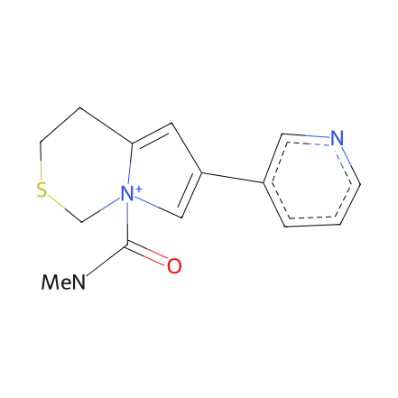 CNC(=O)[N+]12C=C(c3cccnc3)C=C1CCSC2